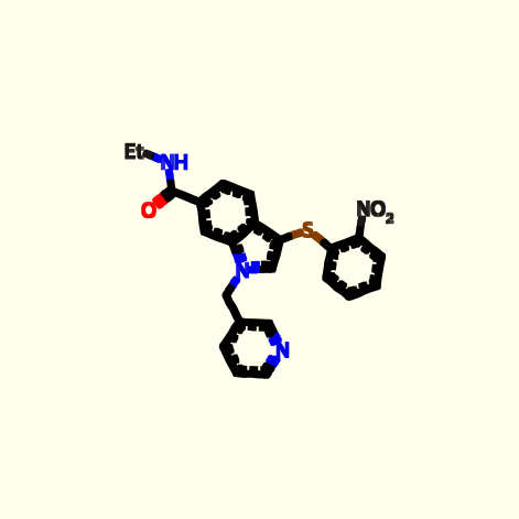 CCNC(=O)c1ccc2c(Sc3ccccc3[N+](=O)[O-])cn(Cc3cccnc3)c2c1